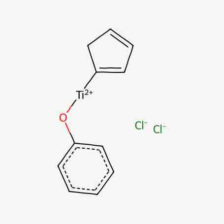 C1=CC[C]([Ti+2][O]c2ccccc2)=C1.[Cl-].[Cl-]